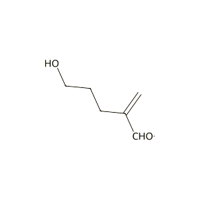 C=C([C]=O)CCCO